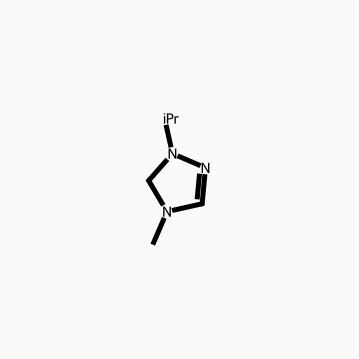 CC(C)N1CN(C)C=N1